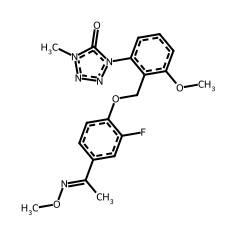 CO/N=C(\C)c1ccc(OCc2c(OC)cccc2-n2nnn(C)c2=O)c(F)c1